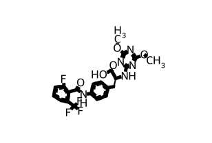 COc1nc(N[C@@H](Cc2ccc(NC(=O)c3c(F)cccc3C(F)(F)F)cc2)C(=O)O)nc(OC)n1